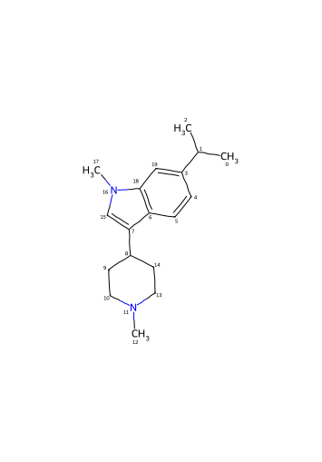 CC(C)c1ccc2c(C3CCN(C)CC3)cn(C)c2c1